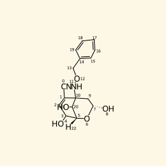 N#CC1=CC(O)[C@H]2O[C@@H](O)CC1(NOCc1ccccc1)C2O